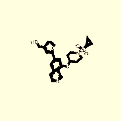 O=S(=O)(C1CC1)N1CCC(Oc2cc(-c3cccc(CO)c3)cc3ccncc23)CC1